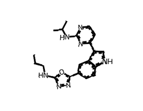 CCCNc1nnc(-c2ccc3[nH]cc(-c4ccnc(NC(C)C)n4)c3c2)o1